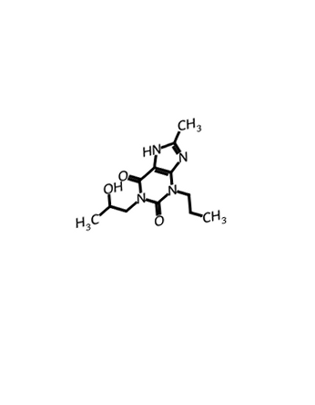 CCCn1c(=O)n(CC(C)O)c(=O)c2[nH]c(C)nc21